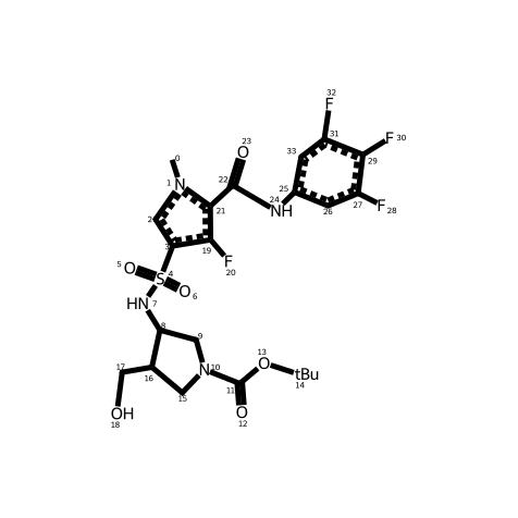 Cn1cc(S(=O)(=O)NC2CN(C(=O)OC(C)(C)C)CC2CO)c(F)c1C(=O)Nc1cc(F)c(F)c(F)c1